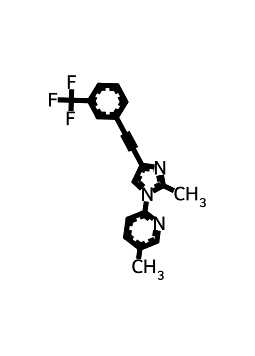 Cc1ccc(-n2cc(C#Cc3cccc(C(F)(F)F)c3)nc2C)nc1